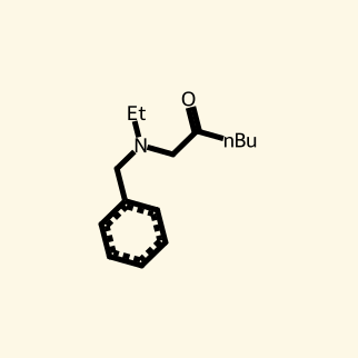 CCCCC(=O)CN(CC)Cc1ccccc1